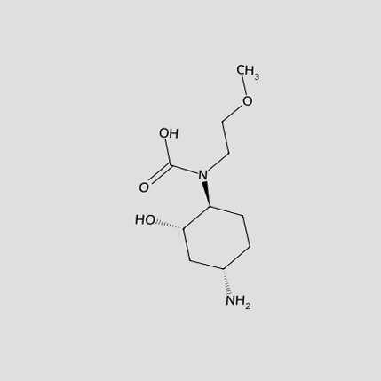 COCCN(C(=O)O)[C@H]1CC[C@H](N)C[C@@H]1O